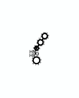 O=C(BC1CCCCCCCCC1)NC12CCC(C3CCCC(C4CCCCCCC4)CCC3)(CC1)CC2